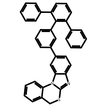 c1ccc(-c2cccc(-c3ccccc3)c2-c2cccc(-c3ccc4nc5n(c4c3)-c3ccccc3CS5)c2)cc1